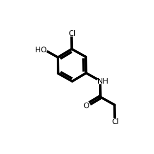 O=C(CCl)Nc1ccc(O)c(Cl)c1